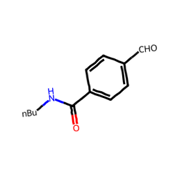 [CH2]CCCNC(=O)c1ccc(C=O)cc1